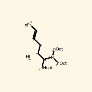 CCCC=CCCC(CCCCCCC)N(CCCCCCCC)CCCCCCCC.I